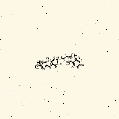 CN(CCOc1ccc(C=C2SC(=O)NC2=O)cc1)C(=O)c1ccccc1